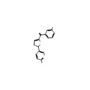 COc1ccc(C2CC=C(C(=O)c3cccc(O)c3)S2)cn1